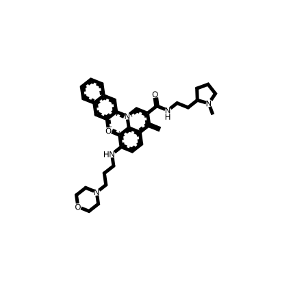 C=c1c(C(=O)NCCC2CCCN2C)cn2c3cc4ccccc4cc3oc3c(NCCCN4CCOCC4)ccc1c3-2